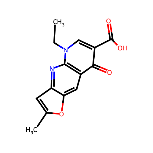 CCn1cc(C(=O)O)c(=O)c2cc3oc(C)cc3nc21